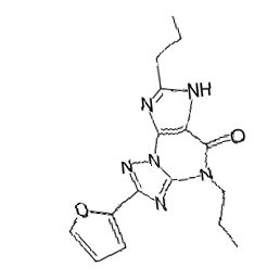 CCCc1nc2c([nH]1)c(=O)n(CCC)c1nc(-c3ccco3)nn21